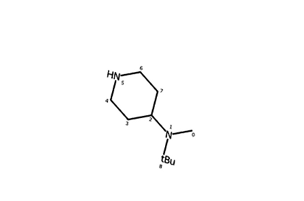 CN(C1CCNCC1)C(C)(C)C